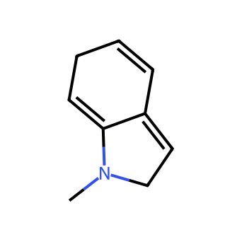 CN1CC=C2C=CCC=C21